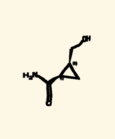 NC(=O)[C@@H]1C[C@H]1CO